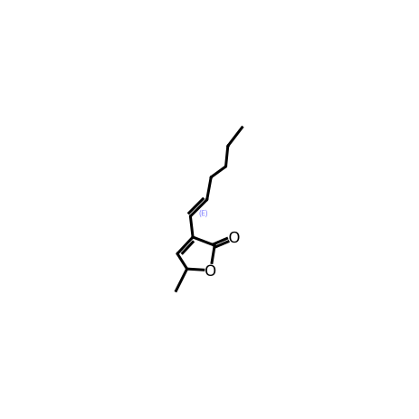 CCCC/C=C/C1=CC(C)OC1=O